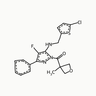 CC1(C(=O)n2nc(-c3ccccc3)c(F)c2NCc2ccc(Cl)s2)COC1